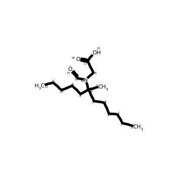 CCCCCCC(C)(CCCCC)N(C=O)CC(=O)O